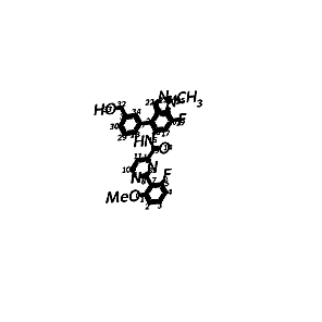 COc1cccc(F)c1-c1nccc(C(=O)Nc2cc(F)c3c(cnn3C)c2-c2cccc(CO)c2)n1